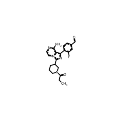 CCC(=O)N1CCCC(c2nc(-c3ccc(C=O)cc3F)c3c(N)nccn23)C1